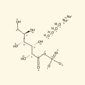 O.O.O.O.O=C(OP(=O)([O-])[O-])[C@H](O)[C@@H](O)[C@H](O)[C@H](O)CO.[Na+].[Na+]